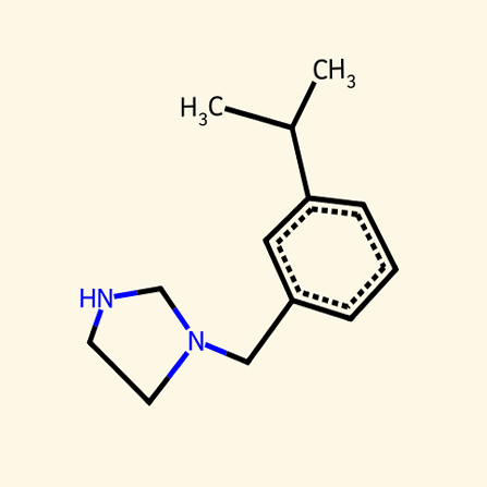 CC(C)c1cccc(CN2CCNC2)c1